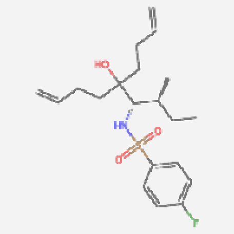 C=CCCC(O)(CCC=C)[C@@H](NS(=O)(=O)c1ccc(F)cc1)[C@@H](C)CC